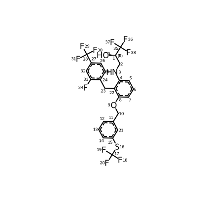 O[C@H](CNc1cccc(OCc2cccc(SC(F)(F)F)c2)c1Cc1ccc(C(F)(F)F)cc1F)C(F)(F)F